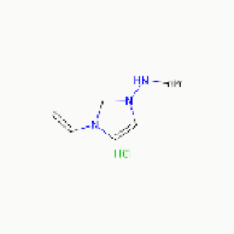 C=CN1C=CN(NCCC)C1.Cl